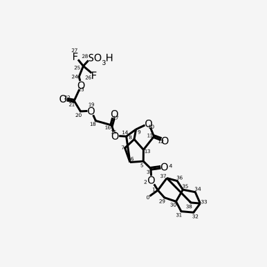 CC1(OC(=O)C2C3CC4C(OC(=O)C42)C3OC(=O)COCC(=O)OCC(F)(F)S(=O)(=O)O)CC2CCC3CC2CC1C3